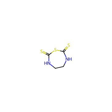 S=C1NCCNC(=S)S1